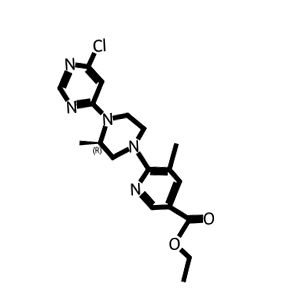 CCOC(=O)c1cnc(N2CCN(c3cc(Cl)ncn3)[C@H](C)C2)c(C)c1